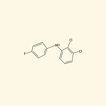 Fc1ccc(Nc2cccc(Cl)c2Cl)cc1